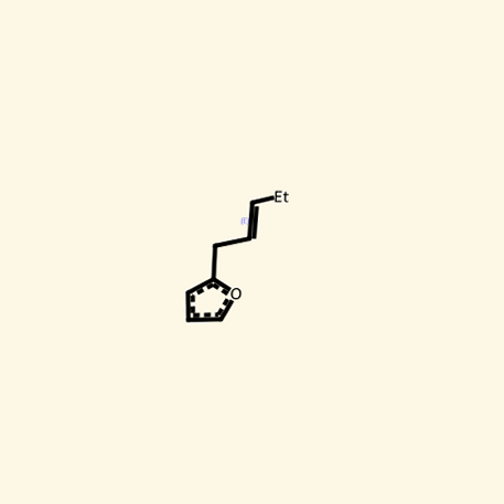 CC/C=C/Cc1ccco1